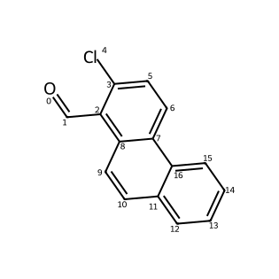 O=Cc1c(Cl)ccc2c1ccc1ccccc12